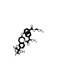 CCOC(=O)c1ccc(OC2CCc3cc(C(O)(C(F)(F)F)C(F)(F)F)ccc3N(C(=O)C(C)c3ccccc3)C2)cc1